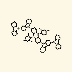 Cc1cc(C)c(B2c3ccc(-n4c5ccccc5c5cc(-n6c7ccccc7c7ccccc76)ccc54)cc3B(c3c(C)cc(C)cc3C)c3ccc(-n4c5ccccc5c5cc(-n6c7ccccc7c7ccccc76)ccc54)cc32)c(C)c1